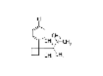 CC(N(C)C)C(C)(C)C1(c2ccc(Cl)cc2)CCC1